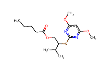 CCCCC(=O)OCC(Sc1nc(OC)cc(OC)n1)C(C)C